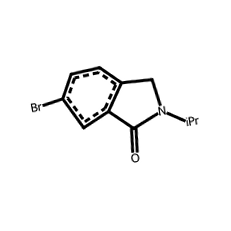 CC(C)N1Cc2ccc(Br)cc2C1=O